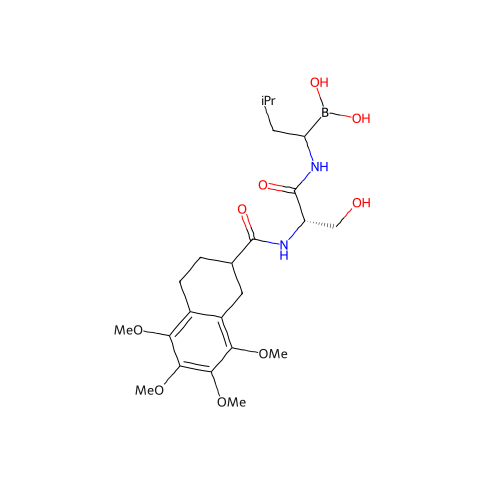 COc1c2c(c(OC)c(OC)c1OC)CC(C(=O)N[C@@H](CO)C(=O)NC(CC(C)C)B(O)O)CC2